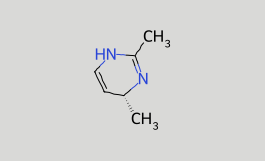 CC1=N[C@H](C)C=CN1